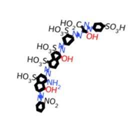 Nc1c(N=Nc2ccc3c(O)c(N=Nc4ccc(N=Nc5c(C(=O)O)nn(-c6ccc(S(=O)(=O)O)cc6)c5O)c(S(=O)(=O)O)c4)c(S(=O)(=O)O)cc3c2S(=O)(=O)O)cc(S(=O)(=O)O)c2ccc(N=Nc3ccccc3[N+](=O)[O-])c(O)c12